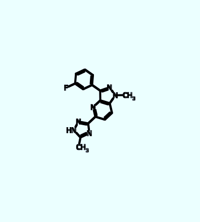 Cc1nc(-c2ccc3c(n2)c(-c2cccc(F)c2)nn3C)n[nH]1